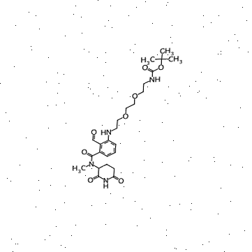 CN(C(=O)c1cccc(NCCOCCOCCNC(=O)OC(C)(C)C)c1C=O)C1CCC(=O)NC1=O